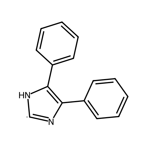 [c]1nc(-c2ccccc2)c(-c2ccccc2)[nH]1